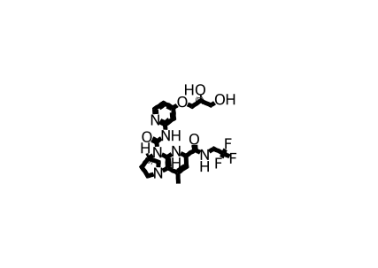 CC1=CC(C(=O)NCC(F)(F)F)NC2=C1N1CC[C@@H](C1)N2C(=O)Nc1cc(OC[C@H](O)CO)ccn1